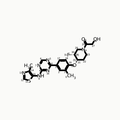 Cc1cc(-c2ncnc(Nc3scnc3C)n2)ccc1O[C@H]1CCN(C(=O)CO)C[C@H]1F